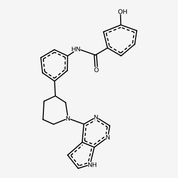 O=C(Nc1cccc(C2CCCN(c3ncnc4[nH]ccc34)C2)c1)c1cccc(O)c1